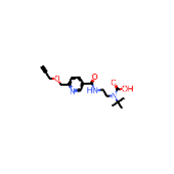 C#CCOCc1ccc(C(=O)NCCN(C(=O)O)C(C)(C)C)cn1